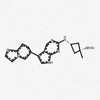 CC(=O)N[C@]1(C)C[C@H](Nc2ncc3c(-c4ccc5nccn5c4)c[nH]c3n2)C1